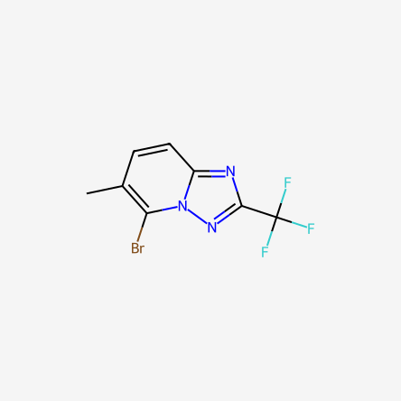 Cc1ccc2nc(C(F)(F)F)nn2c1Br